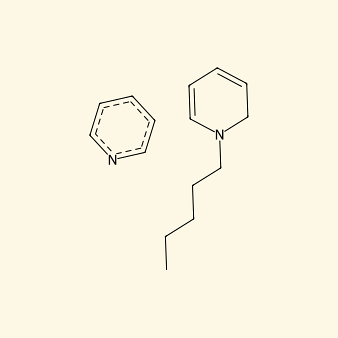 CCCCCN1C=CC=CC1.c1ccncc1